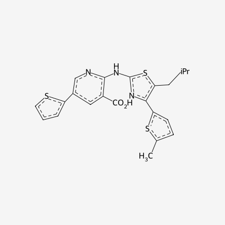 Cc1ccc(-c2nc(Nc3ncc(-c4cccs4)cc3C(=O)O)sc2CC(C)C)s1